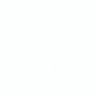 c1ccc2c(c1)-c1ccccc1C21c2ccccc2-c2ccc(N(c3cccc4ccccc34)c3ccc(-c4ccc5c(c4)C4(c6ccccc6-5)c5ccccc5-n5c6ccccc6c6cccc4c65)c4ccccc34)cc21